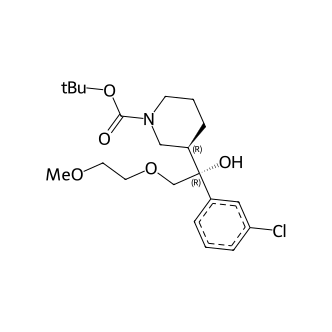 COCCOC[C@](O)(c1cccc(Cl)c1)[C@@H]1CCCN(C(=O)OC(C)(C)C)C1